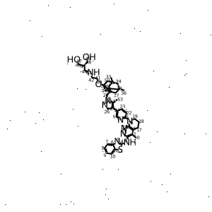 Cc1c(Nc2nc3ccccc3s2)nnc2c1CCCN2c1ccc(-c2cnn(CC34CC5(C)CC(C)(C3)CC(OCCNCC(CO)CO)(C5)C4)c2C)cn1